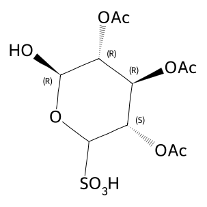 CC(=O)O[C@@H]1[C@@H](OC(C)=O)[C@H](OC(C)=O)C(S(=O)(=O)O)O[C@H]1O